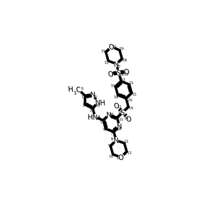 Cc1cc(Nc2cc(N3CCOCC3)nc(S(=O)(=O)Cc3ccc(S(=O)(=O)N4CCOCC4)cc3)n2)[nH]n1